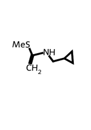 C=C(NCC1CC1)SC